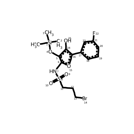 C[Si](C)(C)Oc1c(NS(=O)(=O)CCCBr)oc(-c2cccc(F)c2)c1O